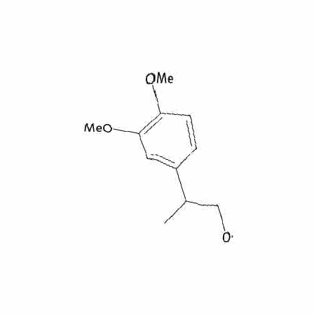 COc1ccc(C(C)C[O])cc1OC